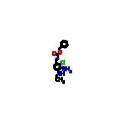 CCNc1ccc(/C=C/C(=O)OCc2ccccc2)c(Cl)c1N